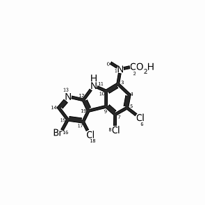 CN(C(=O)O)c1cc(Cl)c(Cl)c2c1[nH]c1ncc(Br)c(Cl)c12